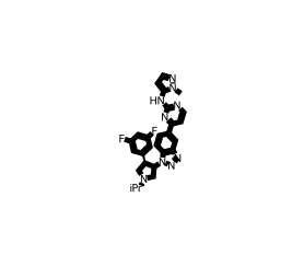 CC(C)N1CC(n2nnc3cc(-c4ccnc(Nc5ccnn5C)n4)ccc32)[C@H](c2cc(F)cc(F)c2)C1